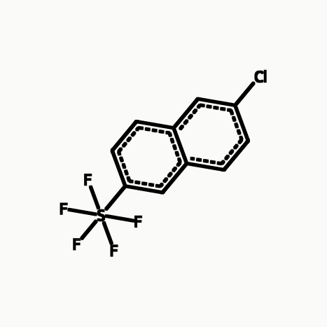 FS(F)(F)(F)(F)c1ccc2cc(Cl)ccc2c1